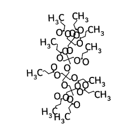 CCCC(=O)OCC(COCC(COCC(COC(=O)CCC)(COC(=O)CCC)COC(=O)CCC)(COC(=O)CCC)COC(=O)CCC)(COCC(COC(=O)CCC)(COC(=O)CCC)COC(=O)CCC)COC(=O)CCC